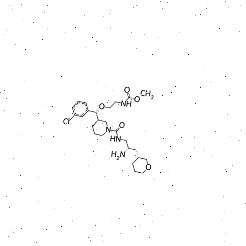 COC(=O)NCCO[C@@H](c1cccc(Cl)c1)[C@@H]1CCCN(C(=O)NC[C@@H](N)C[C@H]2CCCOC2)C1